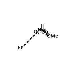 CCC=CCC=CCC=CCC=CCC=CCC=CCCC(=O)NCCN(C)CCNC(=O)[C@@H](C)c1ccc2cc(OC)ccc2c1